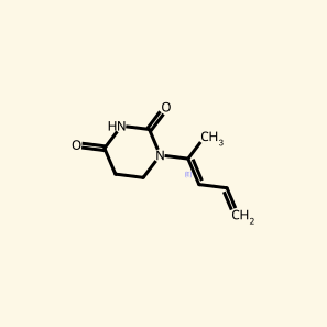 C=C/C=C(\C)N1CCC(=O)NC1=O